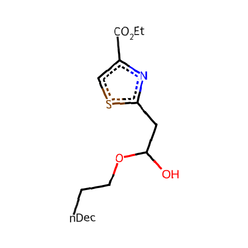 CCCCCCCCCCCCOC(O)Cc1nc(C(=O)OCC)cs1